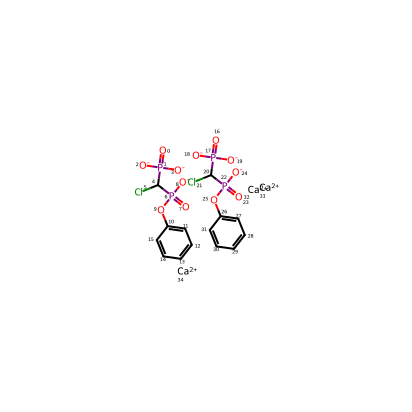 O=P([O-])([O-])C(Cl)P(=O)([O-])Oc1ccccc1.O=P([O-])([O-])C(Cl)P(=O)([O-])Oc1ccccc1.[Ca+2].[Ca+2].[Ca+2]